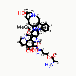 CCC1(O)CC2C[N@](CCc3c([nH]c4ccccc34)[C@@](C(=O)OC)(c3cc4c(cc3OC)N(C)C3C45CCN4CC=C[C@](CC)(C45)C(O)[C@]3(O)C(=O)NCCCOC(=O)C(C)N)C2)C1